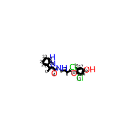 Cc1c(C(=O)NCCCCOc2c(Cl)cc(O)cc2Cl)[nH]c2ccccc12